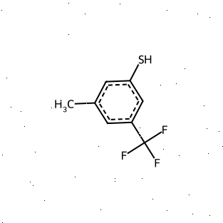 Cc1cc(S)cc(C(F)(F)F)c1